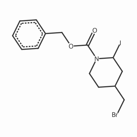 O=C(OCc1ccccc1)N1CCC(CBr)CC1I